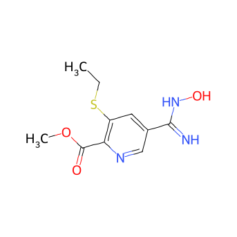 CCSc1cc(C(=N)NO)cnc1C(=O)OC